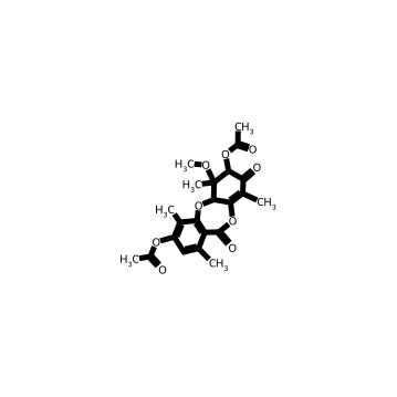 COC1(C)C(OC(C)=O)C(=O)C(C)=C2OC(=O)c3c(C)cc(OC(C)=O)c(C)c3OC21